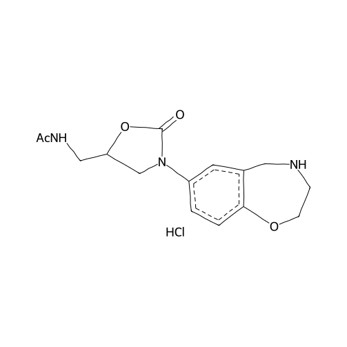 CC(=O)NCC1CN(c2ccc3c(c2)CNCCO3)C(=O)O1.Cl